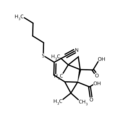 CCCCS/C(C#N)=C/C1C(C)(C)[C@]1(C(=O)O)C1(C(=O)O)CC1(C)C